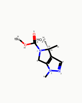 Cn1ncc2c1CN(C(=O)OC(C)(C)C)[C@]2(C)C(=O)O